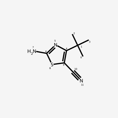 CC(C)(C)c1nc(N)sc1C#N